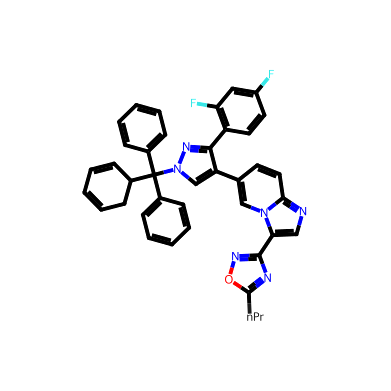 CCCc1nc(-c2cnc3ccc(-c4cn(C(c5ccccc5)(c5ccccc5)C5C=CC=CC5)nc4-c4ccc(F)cc4F)cn23)no1